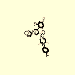 C[C@@H]1CN(C(=O)[C@@H]2CN([C@@H]3CCOC3)C[C@H]2c2ccc(F)cc2F)C[C@H](C)N1c1ccc(F)cc1